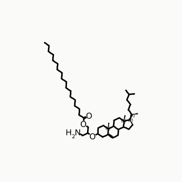 CCCCCCCCCCCCCCCCCC(=O)OCC(CN)OC1CC[C@@]2(C)C(=CCC3C2CC[C@@]2(C)C3CC[C@@H]2[C@H](C)CCCC(C)C)C1